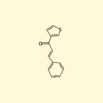 O=C(/C=C/c1ccccc1)c1ccsc1